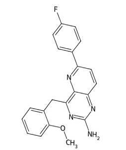 COc1ccccc1Cc1nc(N)nc2ccc(-c3ccc(F)cc3)nc12